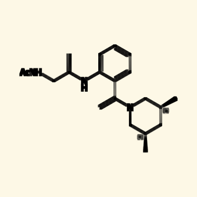 C=C(CNC(C)=O)Nc1ccccc1C(=C)N1C[C@H](C)C[C@H](C)C1